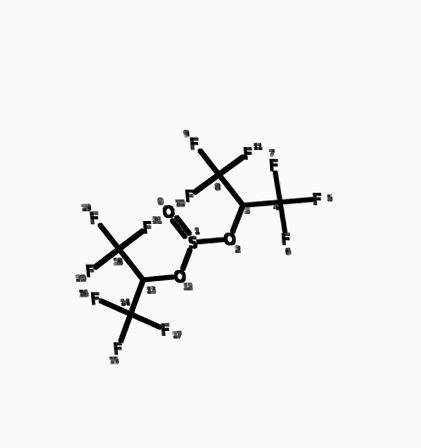 O=S(OC(C(F)(F)F)C(F)(F)F)OC(C(F)(F)F)C(F)(F)F